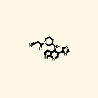 N#CCC(=O)N1CCC[C@@H](Nc2c(-c3cscn3)cnc3[nH]ccc23)C1